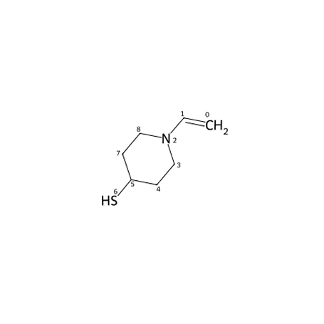 C=CN1CCC(S)CC1